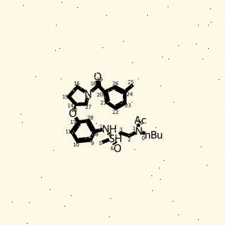 CCCCN(CC[SH](C)(=O)Nc1cccc(O[C@H]2CCN(C(=O)c3cccc(C)c3)C2)c1)C(C)=O